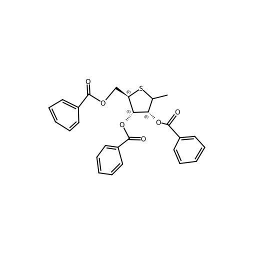 CC1S[C@H](COC(=O)c2ccccc2)[C@@H](OC(=O)c2ccccc2)[C@H]1OC(=O)c1ccccc1